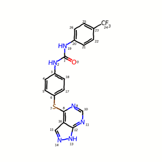 O=C(Nc1ccc(Sc2ncnc3[nH]ncc23)cc1)Nc1ccc(C(F)(F)F)cc1